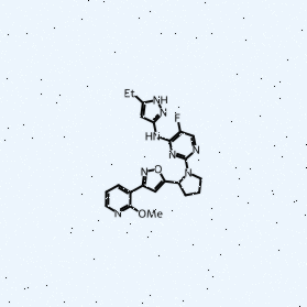 CCc1cc(Nc2nc(N3CCCC3c3cc(-c4cccnc4OC)no3)ncc2F)n[nH]1